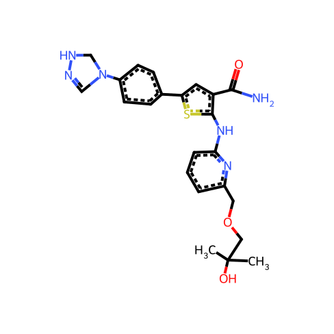 CC(C)(O)COCc1cccc(Nc2sc(-c3ccc(N4C=NNC4)cc3)cc2C(N)=O)n1